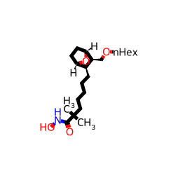 CCCCCCOC[C@H]1[C@@H](CCCCCC(C)(C)C(=O)NO)[C@H]2CC[C@@H]1O2